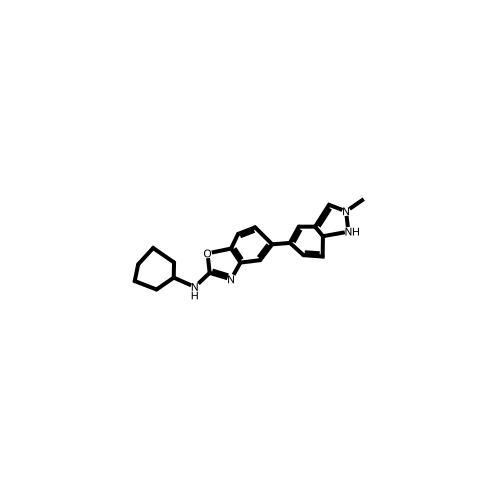 CN1C=C2C=C(c3ccc4oc(NC5CCCCC5)nc4c3)C=CC2N1